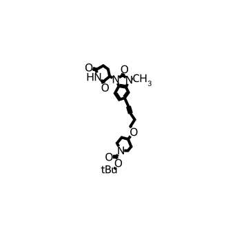 Cn1c(=O)n(C2CCC(=O)NC2=O)c2ccc(C#CCCOC3CCN(C(=O)OC(C)(C)C)CC3)cc21